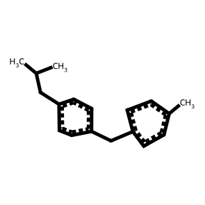 Cc1ccc(Cc2ccc(CC(C)C)cc2)cc1